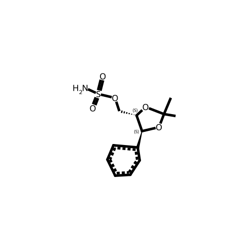 CC1(C)O[C@@H](COS(N)(=O)=O)[C@H](c2ccccc2)O1